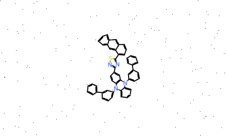 c1ccc(-c2cccc(N3c4ccccc4N(c4cccc(-c5ccccc5)c4)c4cc(-c5nsc(-c6cccc7cc8ccccc8cc67)n5)ccc43)c2)cc1